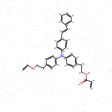 C=COCCc1ccc(N(c2ccc(C=Cc3ccccc3)cc2)c2ccc(CCOC(=O)C=C)cc2)cc1